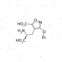 CCOc1noc(C(=O)O)c1C[C@H](N)C(=O)O